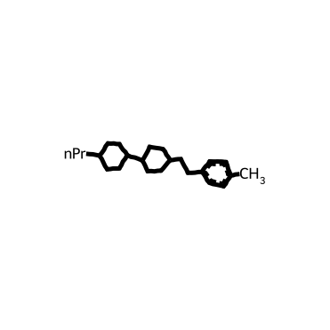 CCCC1CCC(C2CCC(CCc3ccc(C)cc3)CC2)CC1